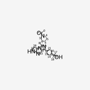 CC(=O)N1CCCC(Cc2nc(-c3ccc(C(C)(C)O)cc3)c3cnc4[nH]ccc4n23)C1